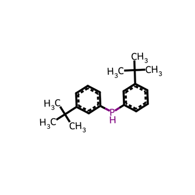 CC(C)(C)c1cccc(Pc2cccc(C(C)(C)C)c2)c1